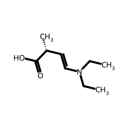 CCN(/C=C/[C@@H](C)C(=O)O)CC